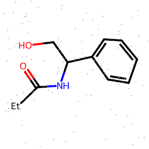 CCC(=O)NC(CO)c1ccccc1